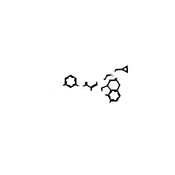 COc1cccc(NC(=O)/C(C)=C(\O)[C@@H]2Oc3c(O)ccc4c3[C@@]23CCN(CC2CC2)[C@H](C4)[C@@]3(C)O)c1